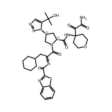 CC(C)(O)c1cnnn1[C@H]1C[C@@H](C(=O)NC2(C(=O)C(N)=O)CCOCC2)N(C(=O)/C(CC2CCCCC2)=N/C(=O)c2nc3ccccc3s2)C1